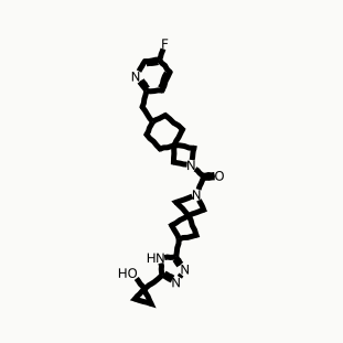 O=C(N1CC2(CCC(Cc3ccc(F)cn3)CC2)C1)N1CC2(CC(c3nnc(C4(O)CC4)[nH]3)C2)C1